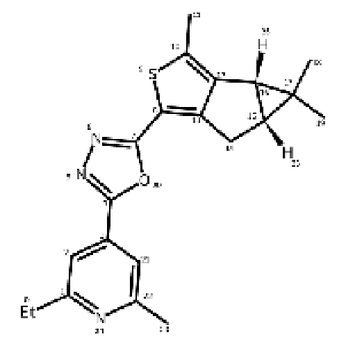 CCc1cc(-c2nnc(-c3sc(C)c4c3C[C@@H]3[C@H]4C3(C)C)o2)cc(C)n1